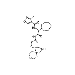 Cc1nocc1C(=O)NC(C(=O)Nc1ccc2c(c1)NCC21CCOCC1)C1CCCCCC1